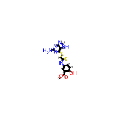 COC(=O)c1cc(NC(=S)CSc2nc(N)nc3nc[nH]c23)ccc1O